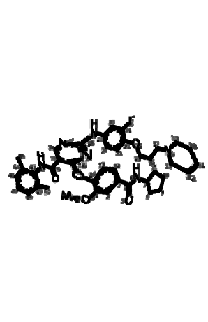 COc1cc(C(=O)NC2CCCC2)ccc1Oc1nc(Nc2ccc(OCCCN3CCCCC3)c(F)c2)ncc1C(=O)Nc1c(C)cccc1C